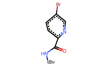 CC(C)(C)NC(=O)c1ccc(Br)cn1